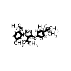 COc1ccc(C)cc1-n1nnc(Sc2ccc(C(C)(C)C)cc2)c1C(C)=O